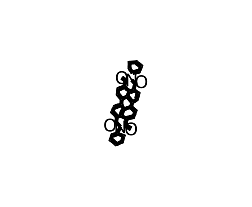 O=C1c2ccc3c4ccc5c6c(ccc(c7ccc(c2c37)C(=O)N1C1=CC=CCC1)c64)C(=O)N(C1=CC=CCC1)C5=O